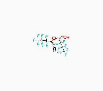 C=C(OC(=CO)C(F)(F)C(F)(F)C(F)(F)F)C(F)(F)C(F)(F)C(F)(F)F